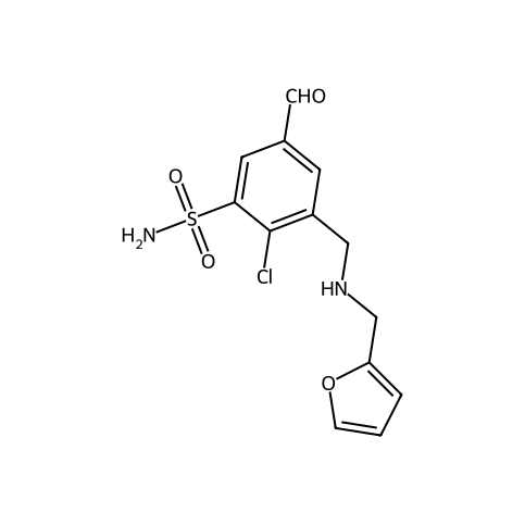 NS(=O)(=O)c1cc(C=O)cc(CNCc2ccco2)c1Cl